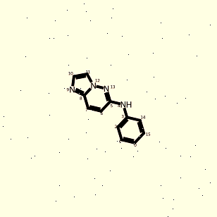 c1ccc(Nc2ccc3nccn3n2)cc1